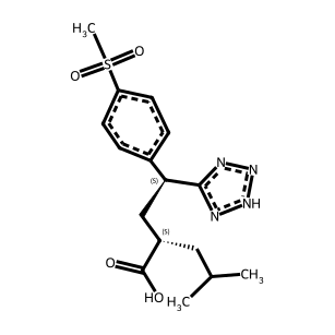 CC(C)C[C@@H](C[C@@H](c1ccc(S(C)(=O)=O)cc1)c1nn[nH]n1)C(=O)O